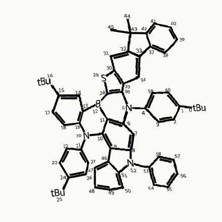 CC(C)(C)c1ccc(N2c3cc4c(c5c3B(c3cc(C(C)(C)C)ccc3N5c3ccc(C(C)(C)C)cc3)c3sc5cc6c(cc5c32)-c2ccccc2C6(C)C)c2ccccc2n4-c2ccccc2)cc1